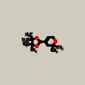 CC1(C)CC(B2OC(C)(C)C(C)(C)O2)=CCO1